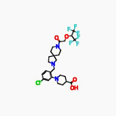 O=C(O)C1CCN(c2cc(Cl)ccc2CN2CCC3(CCN(C(=O)COC(C(F)(F)F)C(F)(F)F)CC3)C2)CC1